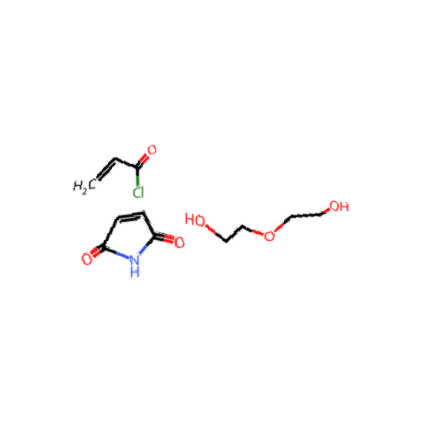 C=CC(=O)Cl.O=C1C=CC(=O)N1.OCCOCCO